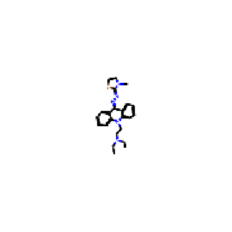 CCN(CC)CCn1c2ccccc2c(=NN=C2SCCN2C)c2ccccc21